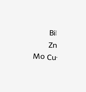 [Bi].[Cu].[Mo].[Zn]